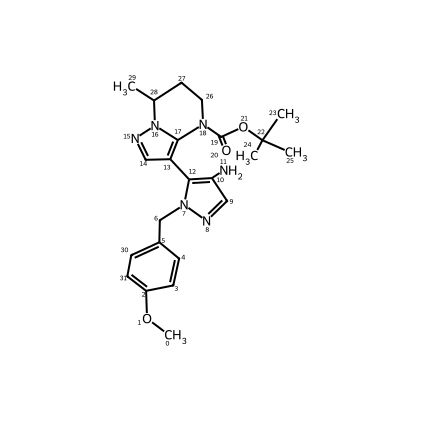 COc1ccc(Cn2ncc(N)c2-c2cnn3c2N(C(=O)OC(C)(C)C)CCC3C)cc1